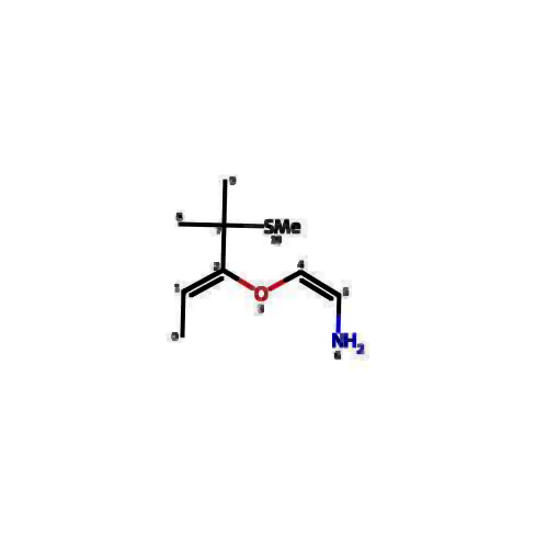 C/C=C(\O/C=C\N)C(C)(C)SC